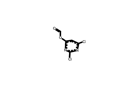 O=COc1cc(Cl)nc(Cl)n1